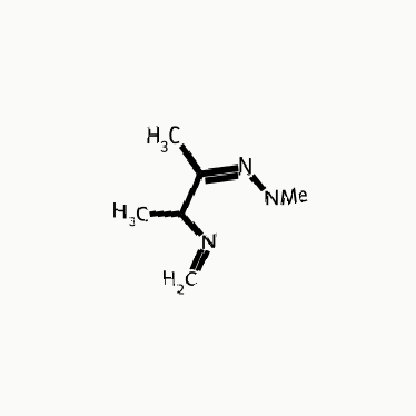 C=NC(C)/C(C)=N\NC